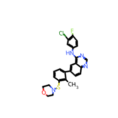 Cc1c(SN2CCOCC2)cccc1-c1ccc2ncnc(Nc3ccc(F)c(Cl)c3)c2c1